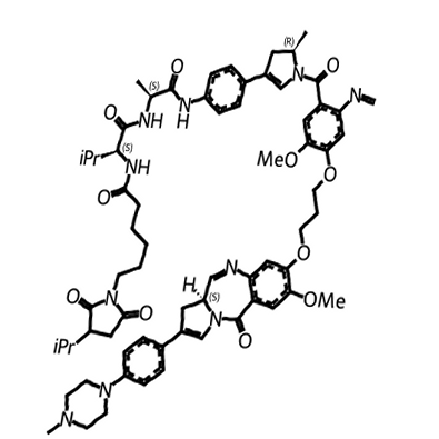 C=Nc1cc(OCCCOc2cc3c(cc2OC)C(=O)N2C=C(c4ccc(N5CCN(C)CC5)cc4)C[C@H]2C=N3)c(OC)cc1C(=O)N1C=C(c2ccc(NC(=O)[C@H](C)NC(=O)[C@@H](NC(=O)CCCCCN3C(=O)CC(C(C)C)C3=O)C(C)C)cc2)C[C@H]1C